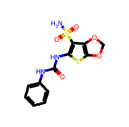 NS(=O)(=O)c1c(NC(=O)Nc2ccccc2)sc2c1OCO2